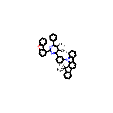 CC1=C(c2ccccc2)N=C(c2cccc3oc4ccccc4c23)N=C(c2cccc(-n3c4ccccc4c4ccc5c(c43)C(C)(C)c3ccccc3-5)c2)C1C